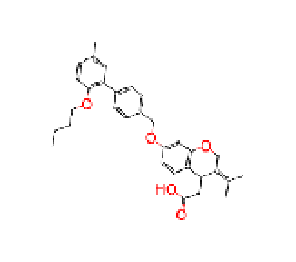 CCCCOc1ccc(C)cc1-c1ccc(COc2ccc3c(c2)OCC(=C(C)C)C3CC(=O)O)cc1